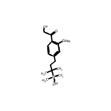 COc1cc(CCC(C)(C)[Si](C)(C)O)ccc1C(=O)CC#N